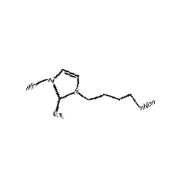 CCCCCCCCCCCCCN1C=CN(C(C)C)C1CC